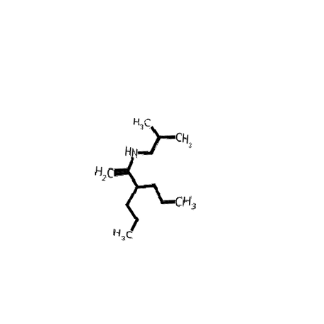 C=C(NCC(C)C)C(CCC)CCC